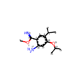 COC(=N)c1cc(C(C)C)c(OC(C)C)cc1N